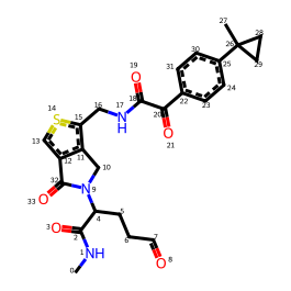 CNC(=O)C(CCC=O)N1Cc2c(csc2CNC(=O)C(=O)c2ccc(C3(C)CC3)cc2)C1=O